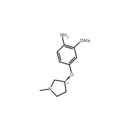 COc1cc(O[C@H]2CCN(C)C2)ccc1N